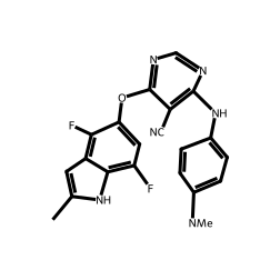 CNc1ccc(Nc2ncnc(Oc3cc(F)c4[nH]c(C)cc4c3F)c2C#N)cc1